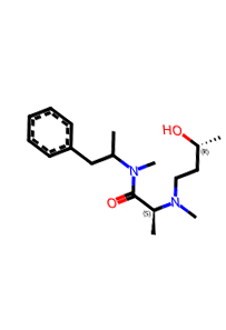 CC(Cc1ccccc1)N(C)C(=O)[C@H](C)N(C)CC[C@@H](C)O